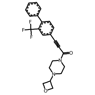 O=C(C#Cc1ccc(-c2ccccc2)c(C(F)(F)F)c1)N1CCN(C2COC2)CC1